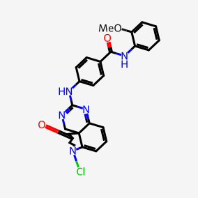 COc1ccccc1NC(=O)c1ccc(NC2=NCC34CC(=O)CCN(Cl)C3=CC=CC4=N2)cc1